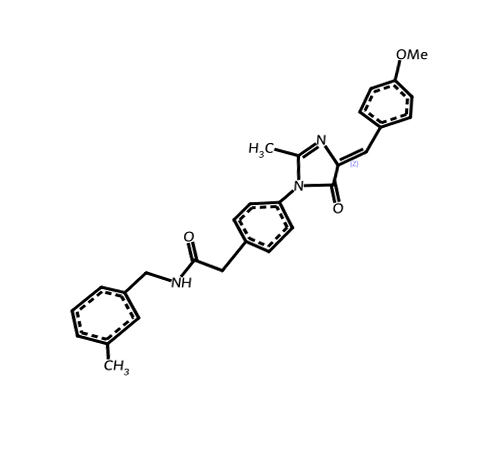 COc1ccc(/C=C2\N=C(C)N(c3ccc(CC(=O)NCc4cccc(C)c4)cc3)C2=O)cc1